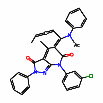 CC=C=C/C(=c1\c(C)c2c(n(-c3cccc(Cl)c3)c1=O)=NN(c1ccccc1)C2=O)N(C(C)=O)c1ccccc1